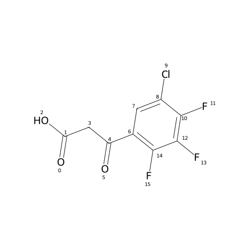 O=C(O)CC(=O)c1cc(Cl)c(F)c(F)c1F